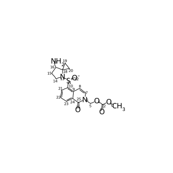 COC(=O)OCn1ccc2c([S+]([O-])N3CCC(N)C34CC4)cccc2c1=O